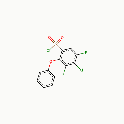 O=S(=O)(Cl)c1cc(F)c(Cl)c(F)c1Oc1ccccc1